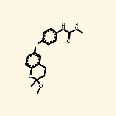 CNC(=O)Nc1ccc(Oc2ccc3c(c2)CCC(C)(OC)O3)cc1